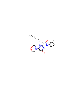 CCCCCCCCCCCCCCC(C(=O)Nc1cccc(C)c1)c1nc(N2CCOCC2)cc(=O)[nH]1